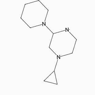 C1CCN(C2CN(C3CC3)CC[N]2)CC1